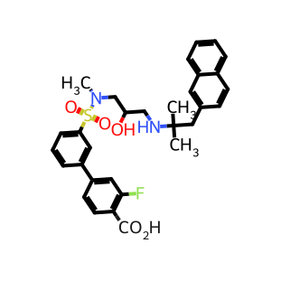 CN(CC(O)CNC(C)(C)Cc1ccc2ccccc2c1)S(=O)(=O)c1cccc(-c2ccc(C(=O)O)c(F)c2)c1